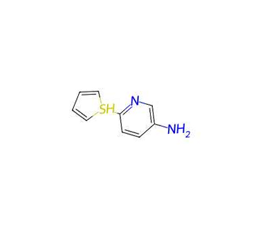 Nc1ccc([SH]2C=CC=C2)nc1